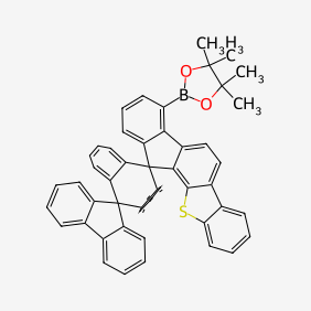 CC1(C)OB(c2cccc3c2-c2ccc4c(sc5ccccc54)c2C32c3ccccc3C3(c4ccccc4-c4ccccc43)c3ccccc32)OC1(C)C